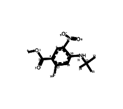 COC(=O)c1cc([N+](=O)[O-])c(NC(C)(C)C)cc1F